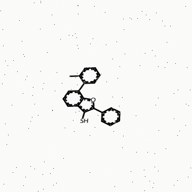 Cc1ccccc1-c1cccc2c(S)c(-c3ccccc3)oc12